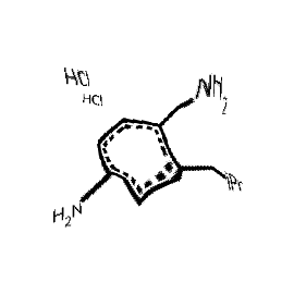 CC(C)c1cc(N)ccc1N.Cl.Cl